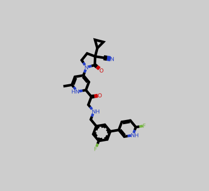 CC1=CC(N2CCC(C#N)(C3CC3)C2=O)=CC(C(=O)CNCc2cc(F)cc(C3=CNC(F)C=C3)c2)N1